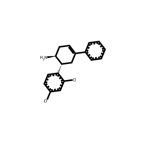 N[C@H]1CC=C(c2ccccc2)C[C@@H]1c1ccc(Cl)cc1Cl